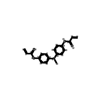 C=CC(=O)Oc1ccc(N(C)c2ccc(OC(=O)C=C)cc2)cc1